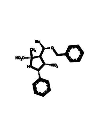 CC[C@H](C)[C@H](OCc1ccccc1)[C@H]1[C@H]([N+](=O)[O-])[C@H](c2ccccc2)N[C@]1(C)C(=O)O